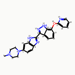 CN1CCN(c2ccc3nc(-c4n[nH]c5c(Oc6ccccn6)cccc45)[nH]c3c2)CC1